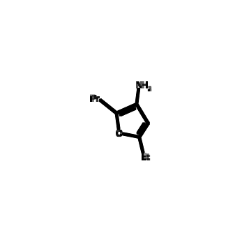 CCc1cc(N)c(C(C)C)o1